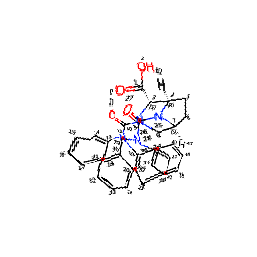 O=C(O)[C@@H]1[C@H]2CC[C@@H](CN1C(=O)N(c1ccccc1)c1ccccc1)N2C(=O)N(Cc1ccccc1)c1ccccc1